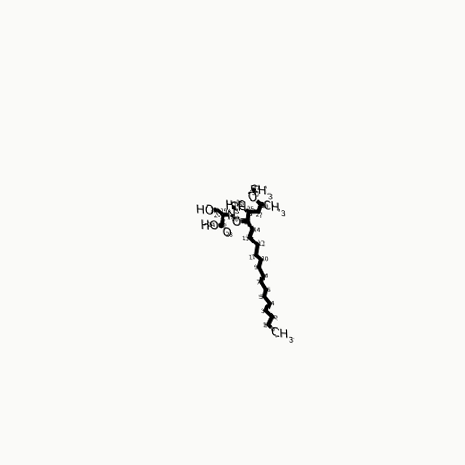 CCCCCCCCCCCCCCCC(ON(C)C(CO)C(=O)O)C(C)CC(C)OC